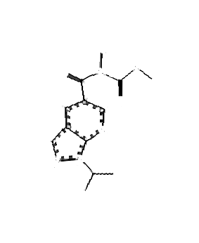 CNC(=O)N(C)C(=O)c1cnc2c(cnn2C(C)C)c1